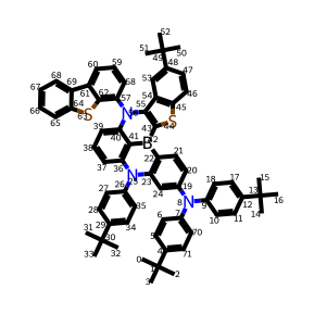 CC(C)(C)c1ccc(N(c2ccc(C(C)(C)C)cc2)c2ccc3c(c2)N(c2ccc(C(C)(C)C)cc2)c2cccc4c2B3c2sc3ccc(C(C)(C)C)cc3c2N4c2cccc3c2sc2ccccc23)cc1